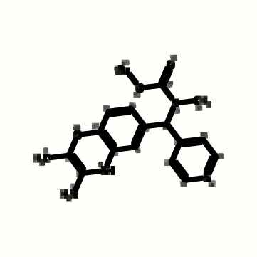 CC1=C(N)Nc2cc(C(c3ccncc3)N(C)C(=O)OC(C)(C)C)ccc2O1